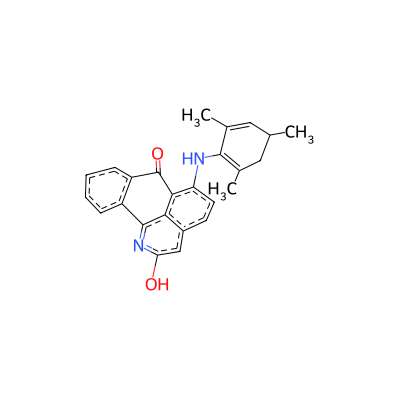 CC1=CC(C)CC(C)=C1Nc1ccc2cc(O)nc3c2c1C(=O)c1ccccc1-3